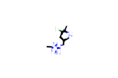 Cc1nnn(Cc2cnc(C)c(F)c2)n1